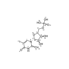 C=C1NC(=O)C(I)=CN1[C@@H]1OC(COP(=O)(O)O)[C@@H](O)[C@H]1O